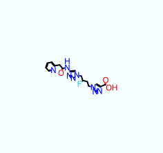 O=C(Cc1ccccn1)Nc1cn(CC(F)CCn2cc(C(=O)O)nn2)nn1